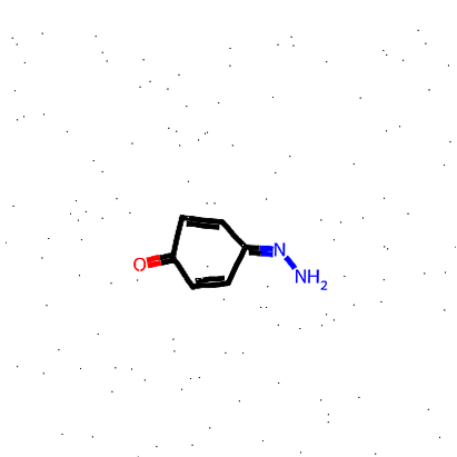 NN=C1C=CC(=O)C=C1